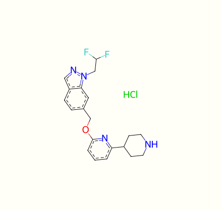 Cl.FC(F)Cn1ncc2ccc(COc3cccc(C4CCNCC4)n3)cc21